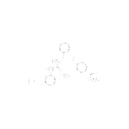 COC(=O)c1ccc(COc2ccccc2CNC(=O)Nc2cc(OC(F)(F)F)ccc2OC)cc1